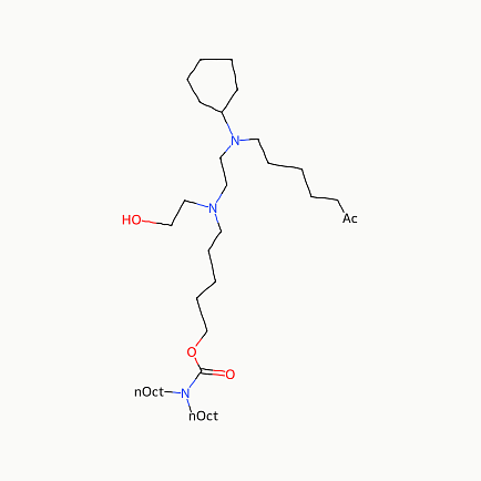 CCCCCCCCN(CCCCCCCC)C(=O)OCCCCCN(CCO)CCN(CCCCCC(C)=O)C1CCCCC1